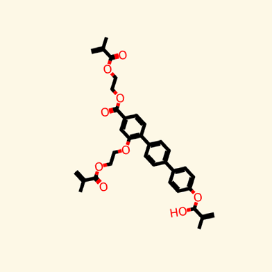 C=C(C)C(=O)OCCOC(=O)c1ccc(-c2ccc(-c3ccc(OC(O)C(=C)C)cc3)cc2)c(OCCOC(=O)C(=C)C)c1